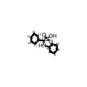 O=S(=O)(O)C(Nc1ccccc1)c1ccccc1